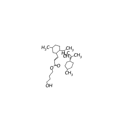 CC1CCC(C(C)C)C(C=CC(=O)OCCCCO)C1.CC1CCC(C(C)C)CC1